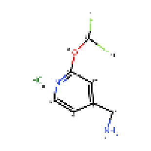 Cl.NCc1ccnc(OC(F)F)c1